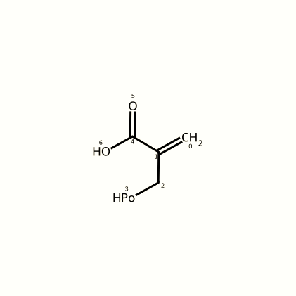 C=C([CH2][PoH])C(=O)O